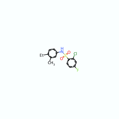 CCc1ccc(NS(=O)(=O)c2ccc(F)cc2Cl)cc1C